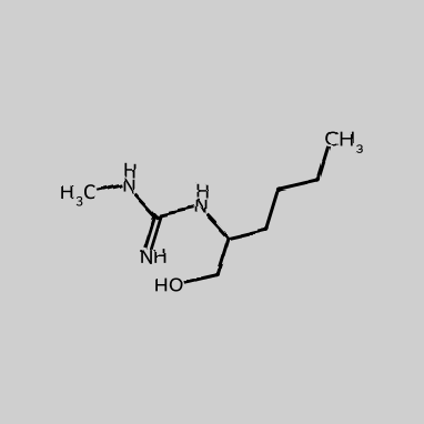 CCCCC(CO)NC(=N)NC